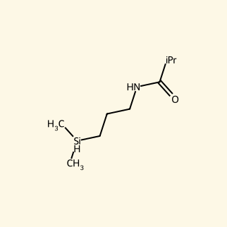 CC(C)C(=O)NCCC[SiH](C)C